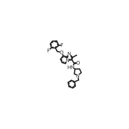 Cc1nc2c(OCc3c(F)cccc3F)cccn2c1C(=O)NC1CCN(Cc2ccccc2)C1